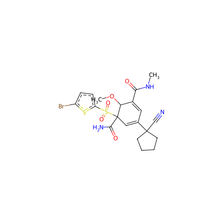 CNC(=O)C1=CC(C2(C#N)CCCC2)=CC(C(N)=O)(S(=O)(=O)c2ccc(Br)s2)C1OC